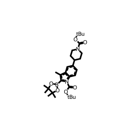 Cc1c(B2OC(C)(C)C(C)(C)O2)n(C(=O)OC(C)(C)C)c2ccc(C3CCN(C(=O)OC(C)(C)C)CC3)cc12